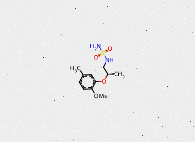 COc1ccc(C)cc1O[C@H](C)CNS(N)(=O)=O